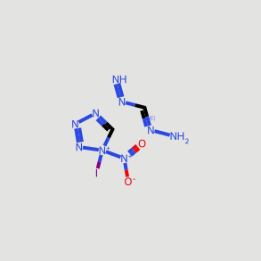 N=N/C=N/N.O=[N+]([O-])[N+]1(I)C=NN=N1